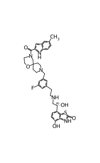 Cc1ccc2[nH]c(C(=O)N3CCOC4(CCN(Cc5cc(F)cc(CCNC[C@H](O)c6ccc(O)c7[nH]c(=O)sc67)c5)CC4)C3)cc2c1